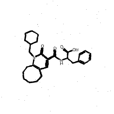 O=C(NC(Cc1ccccc1)C(=O)O)c1cc2c(n(CC3CCCCC3)c1=O)CCCCCC2